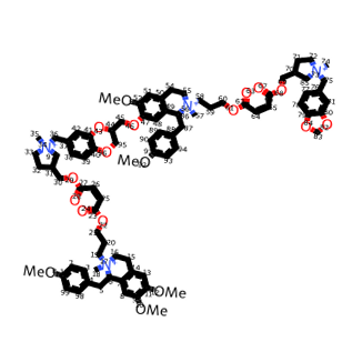 COc1ccc(CC2c3cc(OC)c(OC)cc3CC[N+]2(C)CCCOC(=O)/C=C\C(=O)OCC2CC[N+](C)(Cc3ccc4c(c3)OC(COc3cc5c(cc3OC)CC[N+](C)(CCCOC(=O)/C=C\C(=O)OCC3CC[N+](C)(Cc6ccc7c(c6)OCO7)C3)C5Cc3ccc(OC)cc3)CO4)C2)cc1